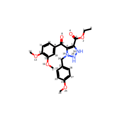 CCOC(=O)C1=C(C(=O)c2ccc(OC)c(OC)c2)N(Cc2ccc(OC)cc2)NN1